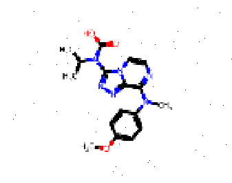 COc1ccc(N(C)c2nccn3c(N(C(=O)O)C(C)C)nnc23)cc1